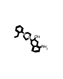 CCc1ccccc1N1CCN(C2Cc3cccc(N)c3CC2O)CC1